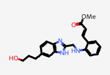 COC(=O)C=Cc1ccccc1NCc1nc2ccc(CCCO)cc2[nH]1